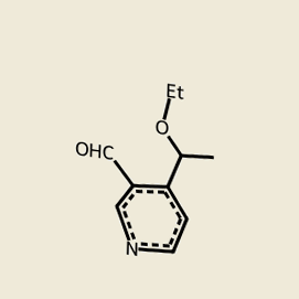 CCOC(C)c1ccncc1C=O